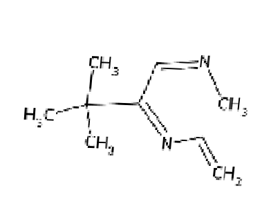 C=C/N=C(\C=N/C)C(C)(C)C